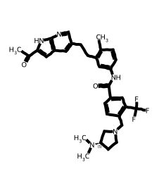 CC(=O)c1cc2cc(CCc3cc(NC(=O)c4ccc(CN5CC[C@H](N(C)C)C5)c(C(F)(F)F)c4)ccc3C)cnc2[nH]1